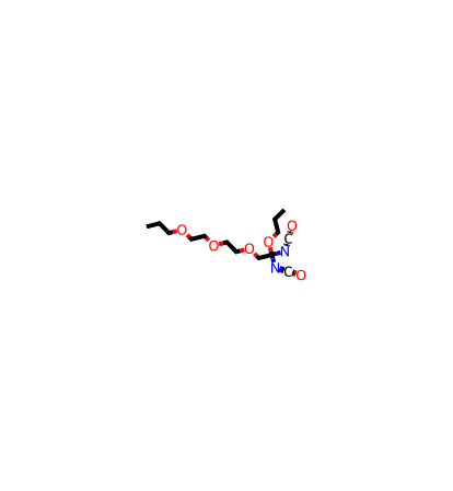 CCCOCCOCCOCC(N=C=O)(N=C=O)OCCC